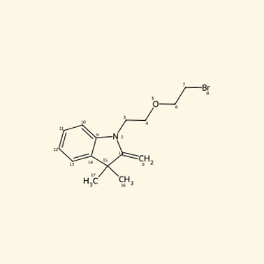 C=C1N(CCOCCBr)c2ccccc2C1(C)C